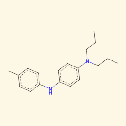 CCCN(CCC)c1ccc(Nc2ccc(C)cc2)cc1